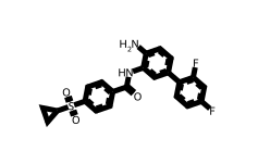 Nc1ccc(-c2ccc(F)cc2F)cc1NC(=O)c1ccc(S(=O)(=O)C2CC2)cc1